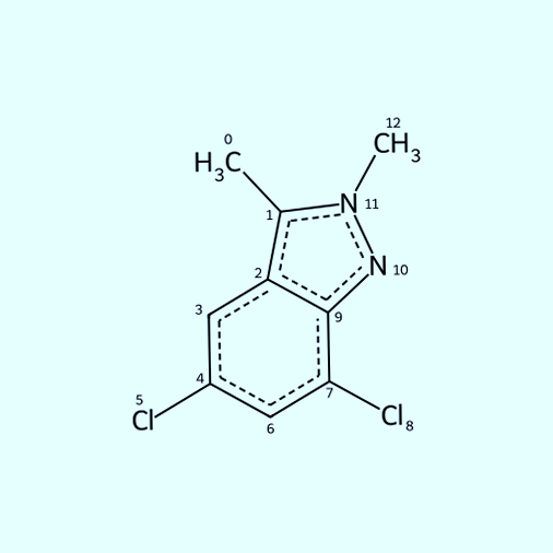 Cc1c2cc(Cl)cc(Cl)c2nn1C